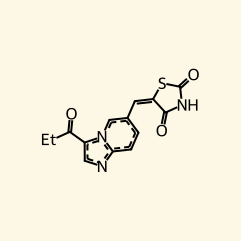 CCC(=O)c1cnc2ccc(C=C3SC(=O)NC3=O)cn12